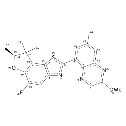 COc1cnc2c(-c3nc4cc(F)c5c(c4s3)C(C)(C)[C@H](C)O5)cc(C)cc2n1